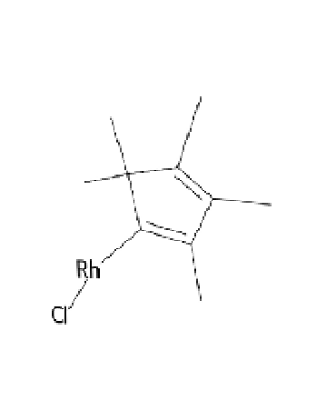 CC1=C(C)C(C)(C)[C]([Rh][Cl])=C1C